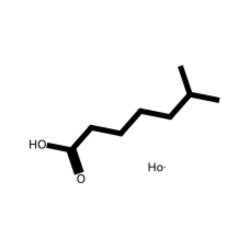 CC(C)CCCCC(=O)O.[Ho]